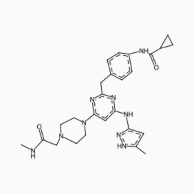 CNC(=O)CN1CCN(c2cc(Nc3cc(C)[nH]n3)nc(Cc3ccc(NC(=O)C4CC4)cc3)n2)CC1